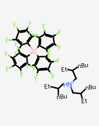 CCCCC(CC)C[NH+](CC(CC)CCCC)CC(CC)CCCC.Fc1c(F)c(F)c([B-](c2c(F)c(F)c(F)c(F)c2F)(c2c(F)c(F)c(F)c(F)c2F)c2c(F)c(F)c(F)c(F)c2F)c(F)c1F